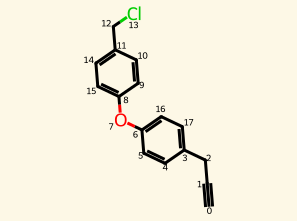 C#CCc1ccc(Oc2ccc(CCl)cc2)cc1